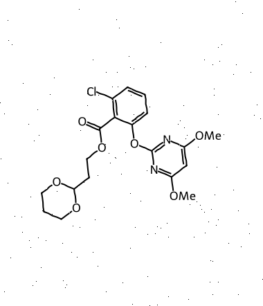 COc1cc(OC)nc(Oc2cccc(Cl)c2C(=O)OCCC2OCCCO2)n1